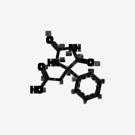 O=C(O)CC1(c2ccccc2)NC(=O)NC1=O